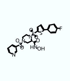 O=C(NO)[C@H]1CN(S(=O)(=O)c2cccnc2)CCN1S(=O)(=O)c1ccc(-c2ccc(F)cc2)s1